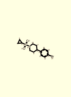 O=S(=O)(C1CC1)N1CCC(c2ccc(Br)cc2)CC1